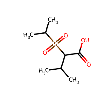 CC(C)C(C(=O)O)S(=O)(=O)C(C)C